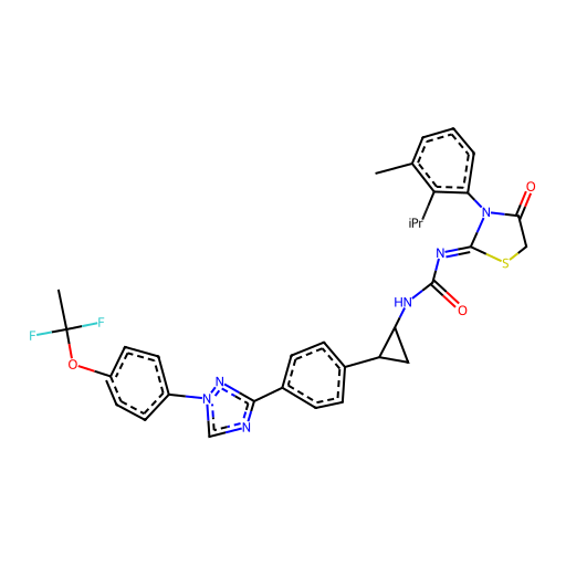 Cc1cccc(N2C(=O)CS/C2=N\C(=O)NC2CC2c2ccc(-c3ncn(-c4ccc(OC(C)(F)F)cc4)n3)cc2)c1C(C)C